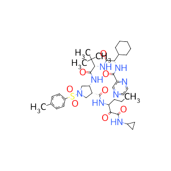 CCCC(NC(=O)[C@@H]1CN(S(=O)(=O)c2ccc(C)cc2)C[C@@H]1NC(=O)[C@@H](NC(=O)[C@@H](NC(=O)c1cnccn1)C1CCCCC1)C(C)(C)C)C(=O)C(=O)NC1CC1